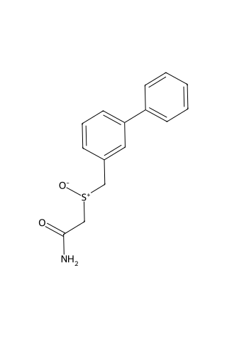 NC(=O)C[S+]([O-])Cc1cccc(-c2ccccc2)c1